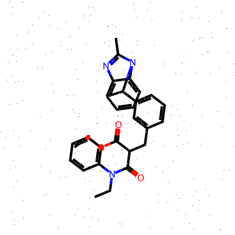 CCOC(=O)C(Cc1cccc(C2c3cccc4c3nc(C)n42)c1)C(=O)N(CC)c1ccccc1